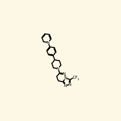 FC(F)(F)c1nnc2n1N=C(N1CCC(c3ccc(N4C=CC=CC4)cc3)CC1)CC2